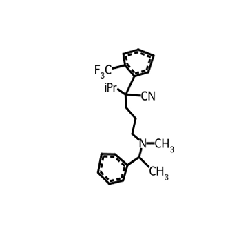 CC(c1ccccc1)N(C)CCCC(C#N)(c1ccccc1C(F)(F)F)C(C)C